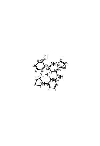 CC1CCCN1c1cccc(Nc2cc(-c3ccccc3Cl)nn3ccnc23)n1